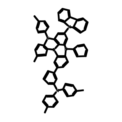 Cc1ccc(N(c2ccc(C)cc2)c2cccc(-c3ccc4c(c3)B3c5cc(C)ccc5N(c5ccc(C)cc5)c5cc(-n6c7ccccc7c7ccccc76)cc(c53)N4c3ccccc3)c2)cc1